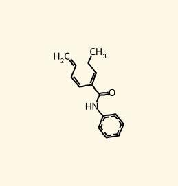 C=C/C=C\C(=C/CC)C(=O)Nc1ccccc1